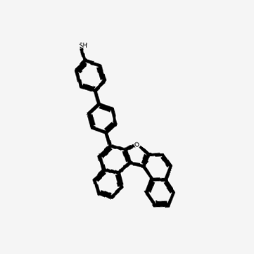 Sc1ccc(-c2ccc(-c3cc4ccccc4c4c3oc3ccc5ccccc5c34)cc2)cc1